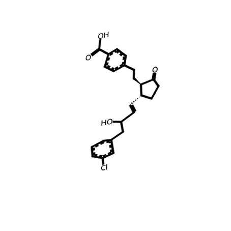 O=C(O)c1ccc(CC[C@H]2C(=O)CC[C@@H]2/C=C/C(O)Cc2cccc(Cl)c2)cc1